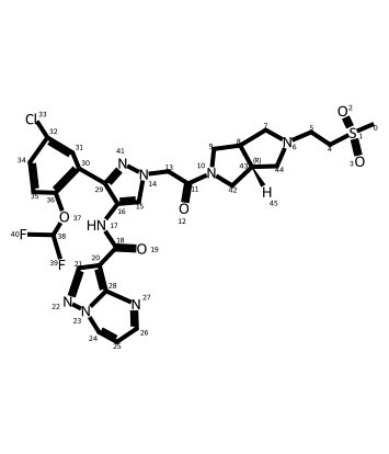 CS(=O)(=O)CCN1CC2CN(C(=O)Cn3cc(NC(=O)c4cnn5cccnc45)c(-c4cc(Cl)ccc4OC(F)F)n3)C[C@H]2C1